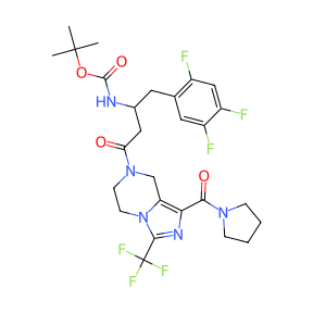 CC(C)(C)OC(=O)NC(CC(=O)N1CCn2c(C(F)(F)F)nc(C(=O)N3CCCC3)c2C1)Cc1cc(F)c(F)cc1F